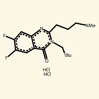 CNCCCc1nc2cc(F)c(F)cc2c(=O)n1CC(C)(C)C.Cl.Cl